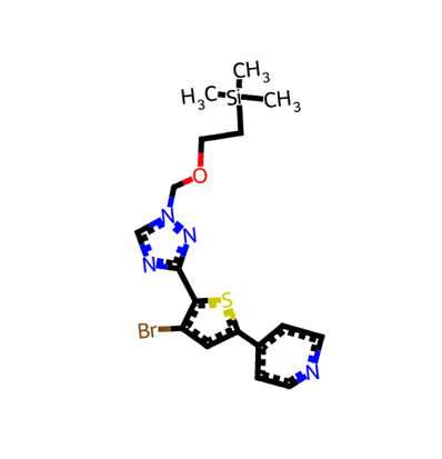 C[Si](C)(C)CCOCn1cnc(-c2sc(-c3ccncc3)cc2Br)n1